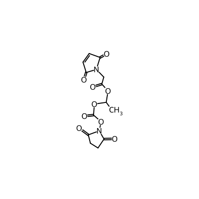 CC(OC(=O)CN1C(=O)C=CC1=O)OC(=O)ON1C(=O)CCC1=O